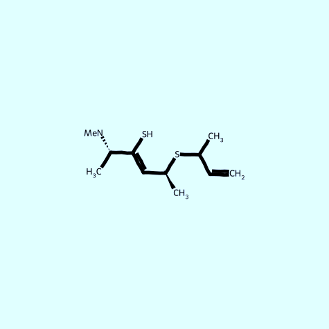 C=CC(C)S[C@@H](C)/C=C(\S)[C@H](C)NC